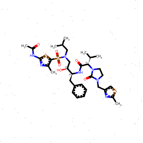 CC(=O)Nc1nc(C)c(S(=O)(=O)N(CC(C)C)C[C@H](O)[C@H](Cc2ccccc2)NC(=O)[C@H](C(C)C)N2CCN(Cc3csc(C)n3)C2=O)s1